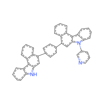 c1cncc(-n2c3ccccc3c3c4ccccc4c(-c4ccc(-c5cc6[nH]c7ccccc7c6c6ccccc56)cc4)cc32)c1